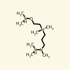 CN(CCC[N+](C)(C)CCO[SiH](C)C)[SiH](C)C